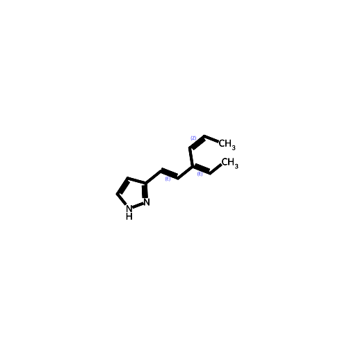 C\C=C/C(/C=C/c1cc[nH]n1)=C\C